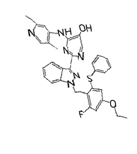 CCOc1cc(F)c(Cn2nc(-c3ncc(O)c(Nc4cc(C)ncc4C)n3)c3ccccc32)c(Sc2ccccc2)c1